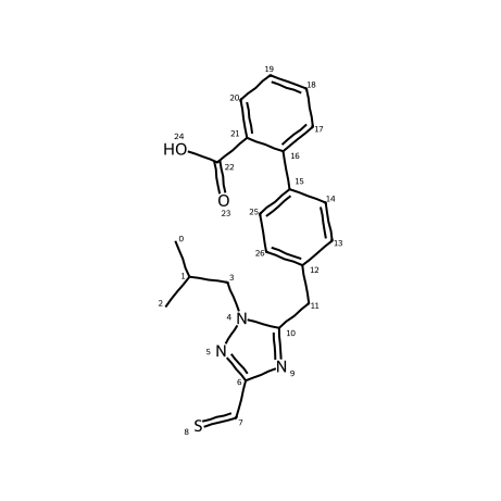 CC(C)Cn1nc(C=S)nc1Cc1ccc(-c2ccccc2C(=O)O)cc1